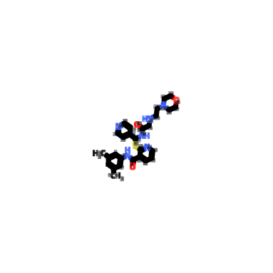 Cc1cc(C)cc(NC(=O)c2cccnc2SC(NC(=O)CNCCN2CCOCC2)c2ccncc2)c1